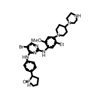 CCc1cc(Nc2ncc(Br)c(Nc3ccc(C4CCC[PH]4=O)cc3)n2)c(OC)cc1N1CCC(N2CCNCC2)CC1